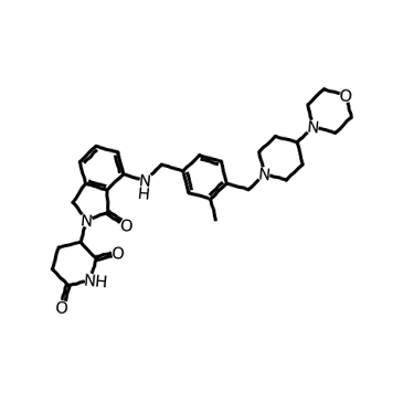 Cc1cc(CNc2cccc3c2C(=O)N(C2CCC(=O)NC2=O)C3)ccc1CN1CCC(N2CCOCC2)CC1